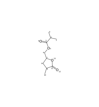 CC(C)C(=O)OCC1CC(C)C(=O)O1